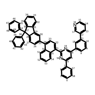 c1ccc(-c2cc(-c3cccc(-c4cccnc4)c3)nc(-c3ccc(-c4ccc5c(c4)-c4ccccc4C5(c4ccccc4)c4ccccc4)c4ccccc34)n2)cc1